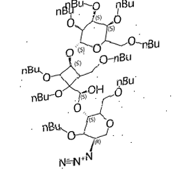 CCCCOCC1OC[C@@H](N=[N+]=[N-])C(OCCCC)[C@@H]1O[C@H](O)C1(OCCCC)C(COCCCC)[C@H](O[C@H]2OC(COCCCC)[C@H](OCCCC)[C@H](OCCCC)C2OCCCC)C1OCCCC